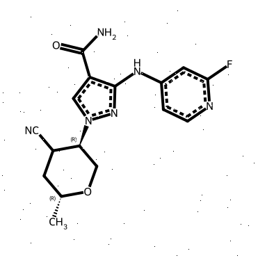 C[C@@H]1CC(C#N)[C@@H](n2cc(C(N)=O)c(Nc3ccnc(F)c3)n2)CO1